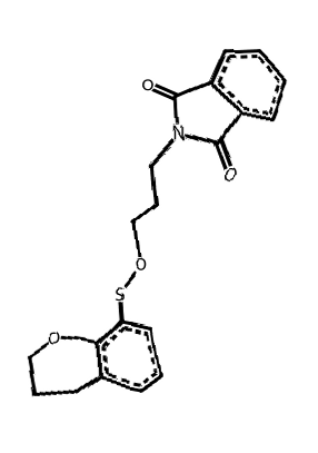 O=C1c2ccccc2C(=O)N1CCCOSc1cccc2c1OCCC2